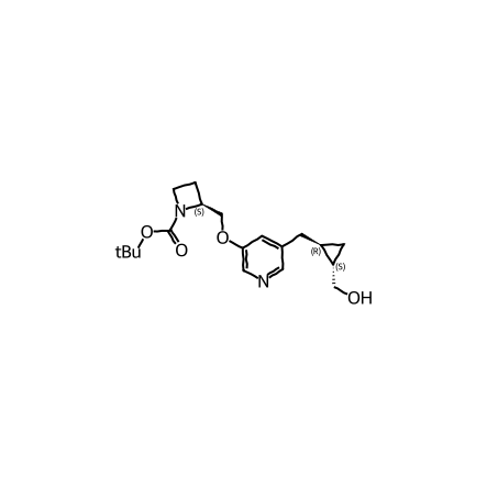 CC(C)(C)OC(=O)N1CC[C@H]1COc1cncc(C[C@H]2C[C@@H]2CO)c1